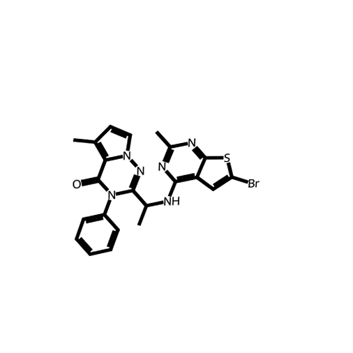 Cc1nc(NC(C)c2nn3ccc(C)c3c(=O)n2-c2ccccc2)c2cc(Br)sc2n1